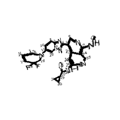 CNc1ncc(-c2nc3ccc(N4CCCC(F)(F)C4)cn3n2)c2cc(NC(=O)C3CC3)ncc12